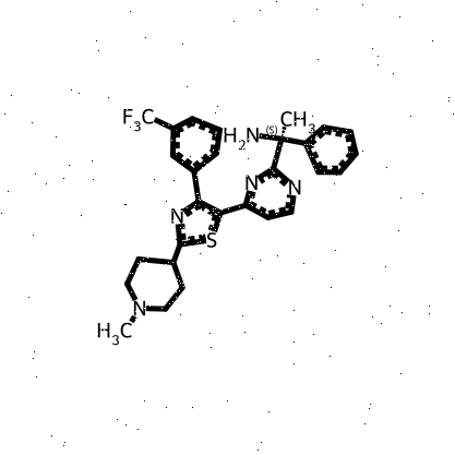 CN1CCC(c2nc(-c3cccc(C(F)(F)F)c3)c(-c3ccnc([C@@](C)(N)c4ccccc4)n3)s2)CC1